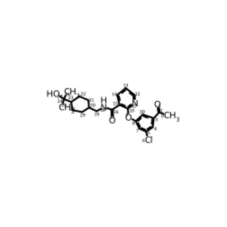 CC(=O)c1cc(Cl)cc(Oc2ncccc2C(=O)NCC2CCC(C(C)(C)O)CC2)c1